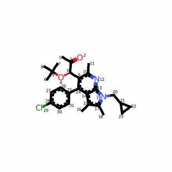 CC(=O)[C@H](OC(C)(C)C)c1c(C)nc2c(c(C)c(C)n2CC2CC2)c1-c1ccc(Cl)cc1